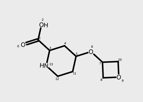 O=C(O)C1CC(OC2COC2)CCN1